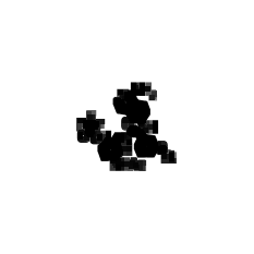 CCOc1cccc(C(Nc2ccc3c(N)nccc3c2)C(=O)NCc2cccc(NC(C)=O)c2)c1.O=C(O)C(F)(F)F